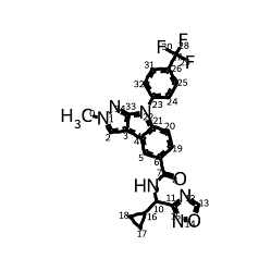 Cn1cc2c3cc(C(=O)NC(c4ncon4)C4CC4)ccc3n(-c3ccc(C(F)(F)F)cc3)c2n1